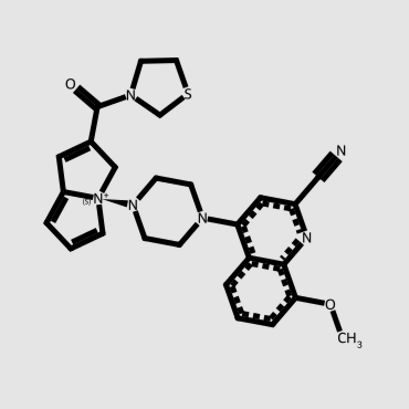 COc1cccc2c(N3CCN([N@@+]45C=CC=C4C=C(C(=O)N4CCSC4)C5)CC3)cc(C#N)nc12